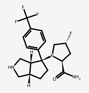 NC(=O)[C@@H]1C[C@@H](F)CN1[C@@]1(c2ccc(C(F)(F)F)cc2)CC[C@@H]2CNC[C@@H]21